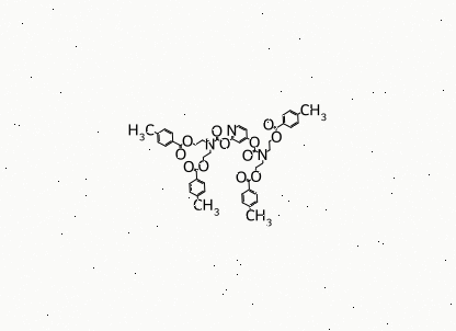 Cc1ccc(C(=O)OCCN(CCOC(=O)c2ccc(C)cc2)C(=O)Oc2ccnc(OC(=O)N(CCOC(=O)c3ccc(C)cc3)CCOC(=O)c3ccc(C)cc3)c2)cc1